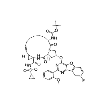 COc1ccccc1-c1nc(O[C@@H]2C[C@H]3C(=O)N[C@]4(C(=O)NS(=O)(=O)C5CC5)C[C@H]4/C=C\CCCCC[C@H](NC(=O)OC(C)(C)C)C(=O)N3C2)c2oc3ccc(F)cc3c2n1